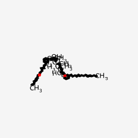 CCCC/C=C/CCCCCCCCCc1cccc(OCC(O)COC(C)(C)C(C)COC(C)(C)C(O)COc2cccc(CCCCCCCCC/C=C/CCCC)c2)c1